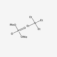 CC[N+](CC)(CC)CC.COP(=O)([O-])OC